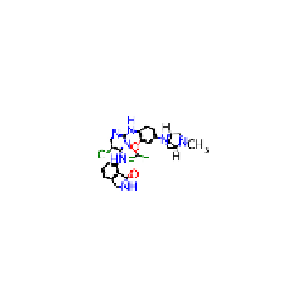 CN1C[C@H]2C[C@@H]1CN2c1ccc(Nc2ncc(Cl)c(Nc3cccc4c3C(=O)NC4)n2)c(OC(F)F)c1